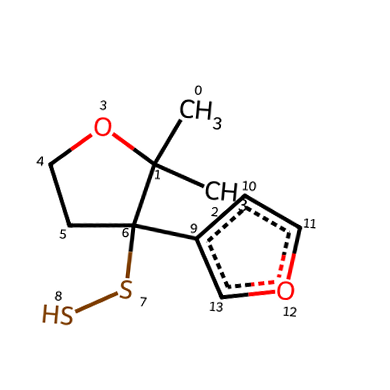 CC1(C)OCCC1(SS)c1ccoc1